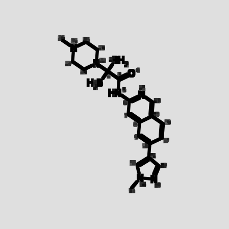 BC(B)(C(=O)Nc1cc2cc(-c3cnn(C)c3)ccc2cn1)N1CCN(C)CC1